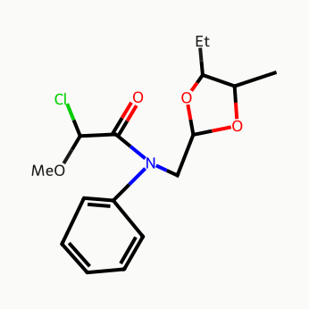 CCC1OC(CN(C(=O)C(Cl)OC)c2ccccc2)OC1C